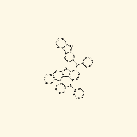 c1ccc(N(c2ccc3c(c2)oc2ccccc23)c2ccc(N(c3ccccc3)c3ccccc3)c3c2sc2cc4ccccc4cc23)cc1